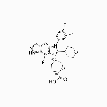 Cc1cc(-n2c(C3CCOCC3)c([C@H]3CC[C@H](C(=O)O)OC3)c3c(F)c4[nH]ncc4cc32)ccc1F